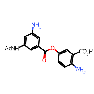 CC(=O)Nc1cc(N)cc(C(=O)Oc2ccc(N)c(C(=O)O)c2)c1